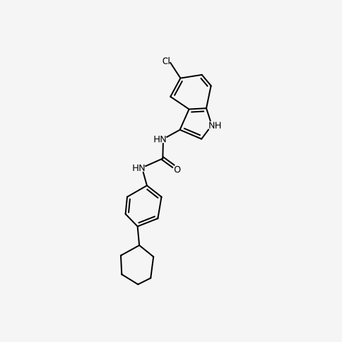 O=C(Nc1ccc(C2CCCCC2)cc1)Nc1c[nH]c2ccc(Cl)cc12